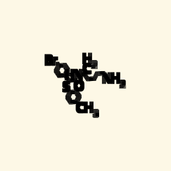 C=C(/C=C\C=C/N)NC(=O)C(Sc1ccc(C)cc1)c1ccc(Br)cc1